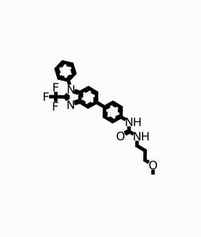 COCCCNC(=O)Nc1ccc(-c2ccc3c(c2)nc(C(F)(F)F)n3-c2ccccc2)cc1